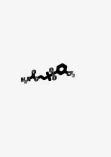 CC(C)(CCOC(N)=O)S(=O)(=O)c1cccc(C(F)(F)F)c1